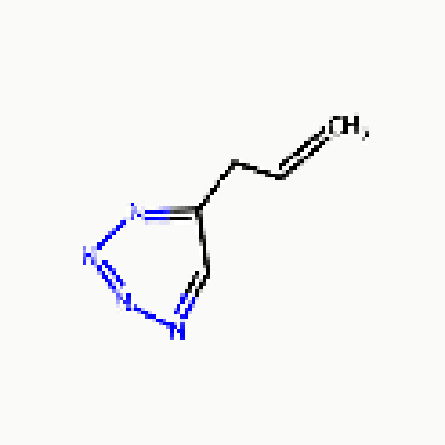 C=CCc1cnnnn1